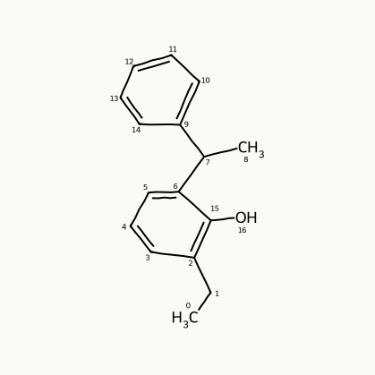 CCc1cccc(C(C)c2ccccc2)c1O